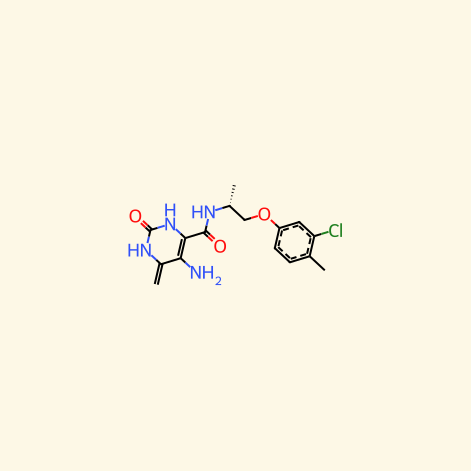 C=C1NC(=O)NC(C(=O)N[C@H](C)COc2ccc(C)c(Cl)c2)=C1N